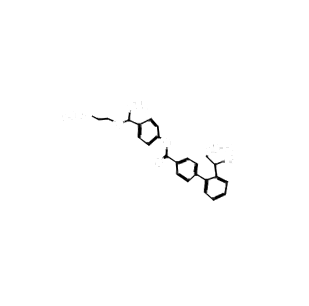 CCCCCCCCCCCCOC(C)c1ccc(OC(=O)c2ccc(-c3ccccc3C(CCC)CCCCCCCCCCC)cc2)cc1